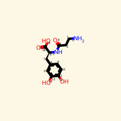 NCCC(=O)N[C@@H](Cc1ccc(O)c(O)c1)C(=O)O